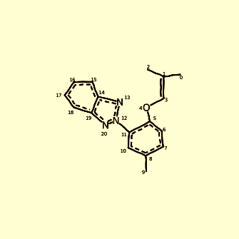 CC(C)=COc1ccc(C)cc1-n1nc2ccccc2n1